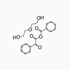 O=C(OC(=O)c1ccccc1)C(=O)c1ccccc1.OCCOCCO